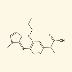 CCCOc1cc(C(C)C(=O)O)ccc1N=c1sccn1C